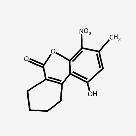 Cc1cc(O)c2c3c(c(=O)oc2c1[N+](=O)[O-])CCCC3